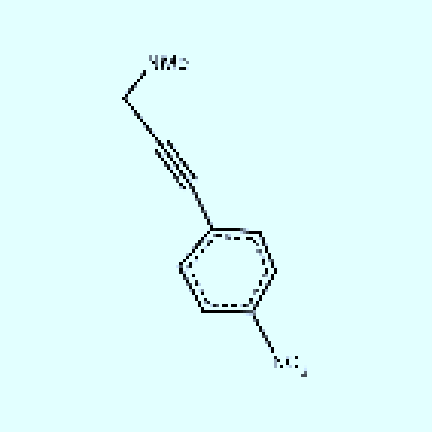 CNCC#Cc1ccc([N+](=O)[O-])cc1